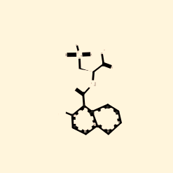 Cc1ccc2ccccc2c1C(=O)N[C@@H](CS(=O)(=O)O)C(=O)O